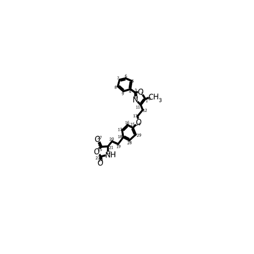 Cc1oc(-c2ccccc2)nc1CCOc1ccc(CCC2NC(=O)OC2=O)cc1